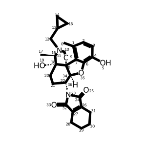 Cc1ccc(O)c2c1[C@]13CCN(CC4CC4)[C@H](C)[C@]1(O)CC[C@@H](N1C(=O)C4=C(CCCC4)C1=O)[C@@H]3O2